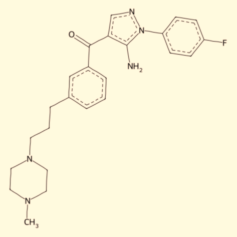 CN1CCN(CCCc2cccc(C(=O)c3cnn(-c4ccc(F)cc4)c3N)c2)CC1